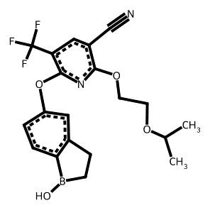 CC(C)OCCOc1nc(Oc2ccc3c(c2)CCB3O)c(C(F)(F)F)cc1C#N